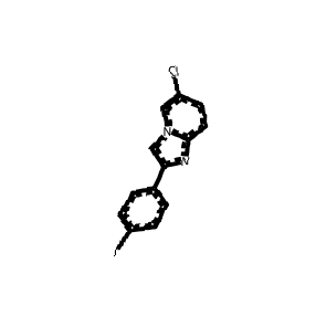 Clc1ccc2nc(-c3ccc(I)cc3)cn2c1